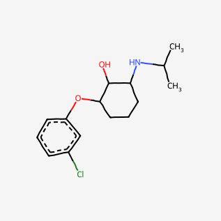 CC(C)NC1CCCC(Oc2cccc(Cl)c2)C1O